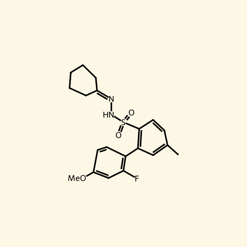 COc1ccc(-c2cc(C)ccc2S(=O)(=O)NN=C2CCCCC2)c(F)c1